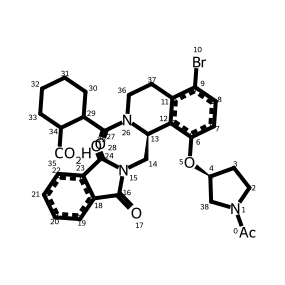 CC(=O)N1CC[C@H](Oc2ccc(Br)c3c2[C@@H](CN2C(=O)c4ccccc4C2=O)N(C(=O)C2CCCCC2C(=O)O)CC3)C1